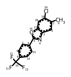 Cc1cc2nc(-c3ccc(C(F)(F)F)cc3)oc2cc1Cl